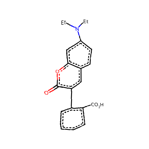 CCN(CC)c1ccc2cc(-c3ccccc3C(=O)O)c(=O)oc2c1